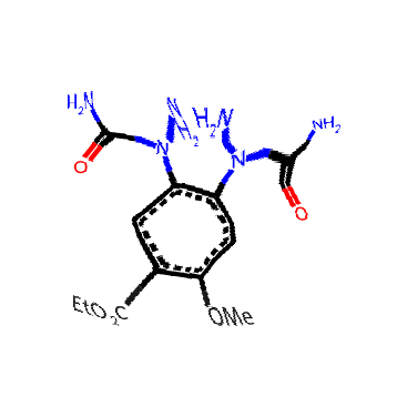 CCOC(=O)c1cc(N(N)C(N)=O)c(N(N)C(N)=O)cc1OC